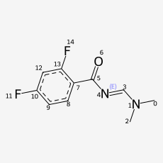 CN(C)/C=N/C(=O)c1ccc(F)cc1F